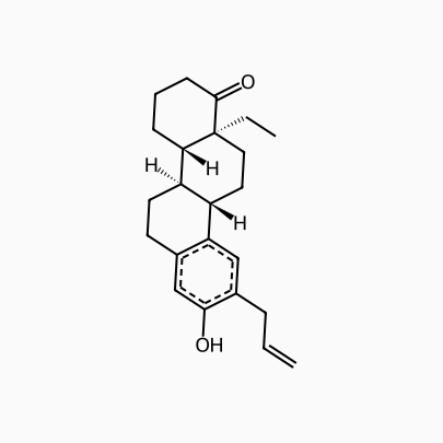 C=CCc1cc2c(cc1O)CC[C@@H]1[C@@H]2CC[C@]2(CC)C(=O)CCC[C@@H]12